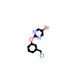 ClCc1cccc(Oc2ncc(Br)cn2)c1